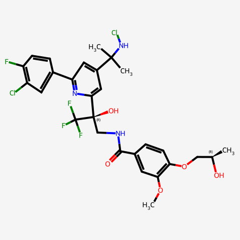 COc1cc(C(=O)NC[C@@](O)(c2cc(C(C)(C)NCl)cc(-c3ccc(F)c(Cl)c3)n2)C(F)(F)F)ccc1OC[C@@H](C)O